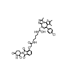 Cc1sc2c(c1C)C(c1ccc(Cl)cc1)=N[C@H](CC(O)NCCCCNC(=O)COc1cccc3c1C(=O)N(C1CCC(=O)NC1=O)C3=O)c1nnc(C)n1-2